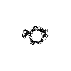 CCC1/C=C(\C)C(F)C(C)CC(OC)C2OC(O)(C(=O)C(=O)N3CCCCC3C(=O)OC(C(C)=CC34CCCC[N+]3=CCOC4)C(C)CCC1=O)C(C)CC2OC